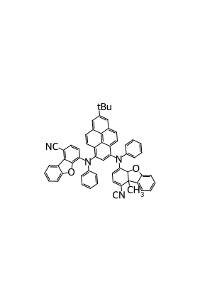 CC(C)(C)c1cc2ccc3c(N(C4=CC=C(C#N)C5(C)c6ccccc6OC45)c4ccccc4)cc(N(c4ccccc4)c4ccc(C#N)c5c4oc4ccccc45)c4ccc(c1)c2c34